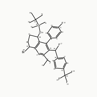 CC(C)c1nc2c(c(-c3ccc(F)cc3)c1C(F)c1ccc(C(F)(F)F)cc1)C(O[Si](C)(C)C(C)(C)C)CCC2Br